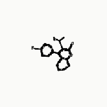 CC(Br)c1c(-c2ccc(F)cc2)c2ccccc2oc1=O